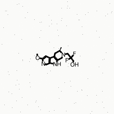 COc1cc2c3c([nH]c2cn1)CN(CC(F)(F)CO)[C@H](C)C3